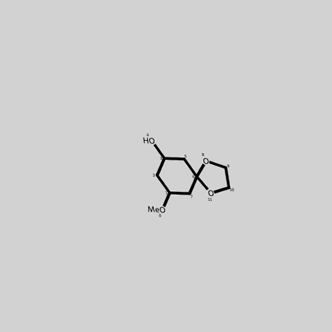 COC1CC(O)CC2(C1)OCCO2